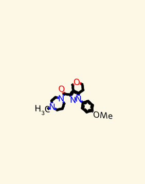 COc1ccc(-n2nc(C(=O)N3CCCN(C)CC3)c3c2CCOC3)cc1